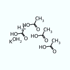 CC(=O)O.CC(=O)O.CC(=O)O.CC(=O)O.O.[K]